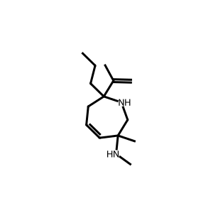 C=C(C)C1(CCC)CC=CC(C)(NC)CN1